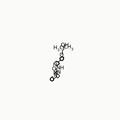 CC(C)(O)CCCOc1cccc(-c2ccnc(NC(=O)c3nc4n(n3)C(c3ccccc3)CC4)c2)c1